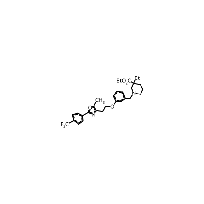 CCOC(=O)C1(CC)CCCN(Cc2cccc(OCCc3nc(-c4ccc(C(F)(F)F)cc4)oc3C)c2)C1